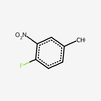 [CH]c1ccc(F)c([N+](=O)[O-])c1